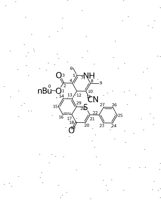 CCCCOC(=O)C1=C(C)NC(C)=C(C#N)C1c1cccc2c(=O)cc(-c3ccccc3)sc12